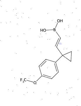 OB(O)/C=C/C1(c2ccc(OC(F)(F)F)cc2)CC1